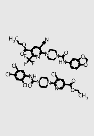 CCOC(=O)c1cc(C#N)c(N2CCN(C(=O)Nc3ccc4c(c3)OCO4)CC2)nc1C(F)(F)F.CCOC(=O)c1cnc(N2CCN(C(=O)Nc3cc(Cl)c(Cl)cc3Cl)CC2)c(Cl)c1